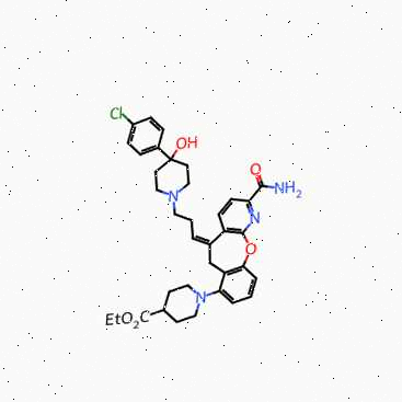 CCOC(=O)C1CCN(c2cccc3c2CC(=CCCN2CCC(O)(c4ccc(Cl)cc4)CC2)c2ccc(C(N)=O)nc2O3)CC1